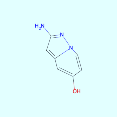 Nc1cc2cc(O)ccn2n1